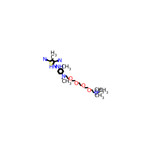 CCN(CCOCCOCCOCCOCC[N+](C)(C)CC)c1ccc(NNc2sc(C#N)c(C)c2C#N)c(C)c1